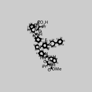 COC(=O)N[C@H](C(=O)N1[C@H](c2nc3cc([C@H]4CC[C@H](c5ccc6[nH]c([C@@H]7C[C@@H]8CCC[C@@H]8N7C(=O)[C@H](C(C)C)N(C)C(=O)O)nc6c5)N4c4cc(F)c(N5CCC(c6ccccc6)CC5)c(F)c4)ccc3[nH]2)C[C@@H]2CCC[C@@H]21)C(C)C